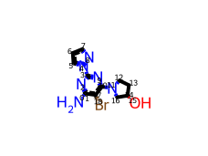 Nc1nc(-n2cccn2)nc(N2CCC(O)C2)c1Br